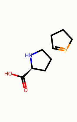 C1=PCCC1.O=C(O)[C@@H]1CCCN1